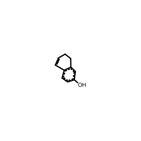 Oc1ccc2c(c1)CC[C]=C2